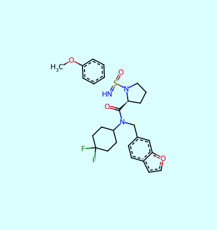 COc1ccc([S@@](=N)(=O)N2CCC[C@H]2C(=O)N(Cc2ccc3ccoc3c2)C2CCC(F)(F)CC2)cc1